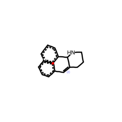 C(=C1\CCCNC1c1cccnc1)/c1ccccc1